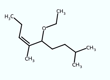 CCC=C(C)C(CCC(C)C)OCC